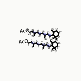 CC(=O)OC/C=C(C)/C=C/C=C(C)/C=C/C1=C(C)CCCC1(C)C.CC(=O)OC/C=C(C)/C=C/C=C(C)/C=C/C1=C(C)CCCC1(C)C